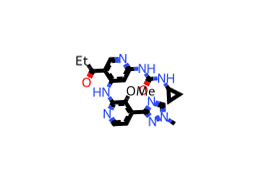 CCC(=O)c1cnc(NC(=O)NC2CC2)cc1Nc1nccc(-c2ncn(C)n2)c1OC